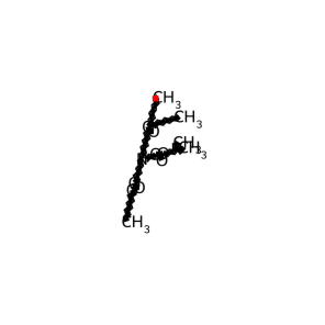 CCCCCCCCCOC(=O)OCCCCCCN(CCCCCCCC(=O)OC(CCCCCCCC)CCCCCCCC)CCCOC(=O)OCCCN(CC)CC